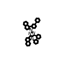 c1ccc(-c2ccc3c(c2)c2c4ccccc4ccc2n3-c2nc(-c3ccccc3)c3c(n2)c2ccc4ccccc4c2n3-c2ccccc2)cc1